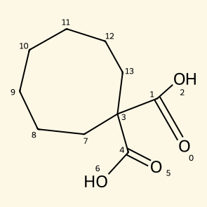 O=C(O)C1(C(=O)O)CCCCCCC1